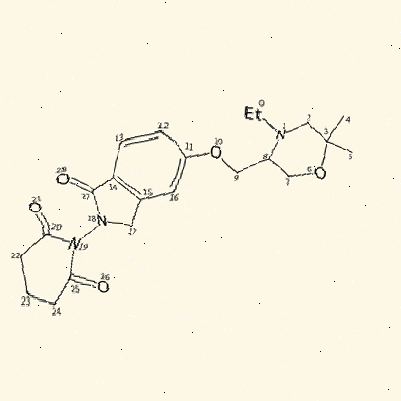 CCN1CC(C)(C)OCC1COc1ccc2c(c1)CN(N1C(=O)CCCC1=O)C2=O